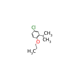 CCCOc1ccc(Cl)cc1[C](C)C